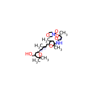 CC(/C=C/[C@@H]1C[C@H](CO)CC(C)(C)O1)=C\C[C@@H]1O[C@H](C)[C@H](NC(=O)/C=C\[C@H](C)OC(=O)N2CCOCC2)C[C@@H]1C